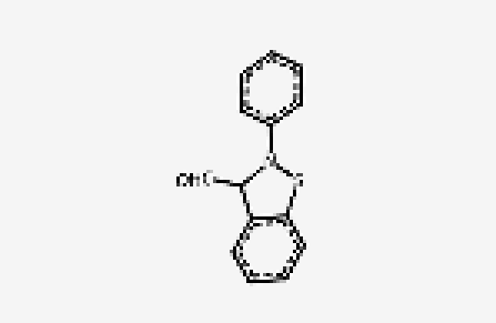 O=CC1c2ccccc2SN1c1ccccc1